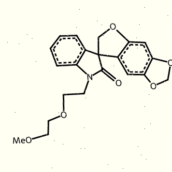 COCCOCCN1C(=O)C2(COc3cc4c(cc32)OCO4)c2ccccc21